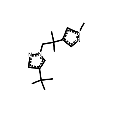 Cn1cc(C(C)(C)Cn2cc(C(C)(C)C)cn2)cn1